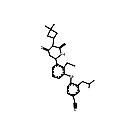 C=C1NC(c2cccc(Nc3ccc(C#N)cc3CC(C)I)c2CC)CC(=O)C1C1CC(C)(C)C1